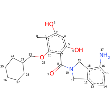 Cc1c(O)cc(O)c(C(=O)N2Cc3cccc(N)c3C2)c1OCC1CCCCC1